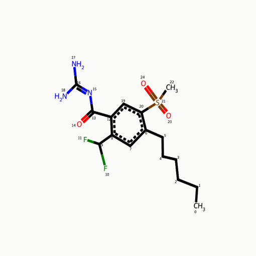 CCCCCCc1cc(C(F)F)c(C(=O)N=C(N)N)cc1S(C)(=O)=O